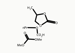 CC1COC(=O)O1.CCCOC(=O)O.COC(=O)OC